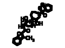 Cc1c(C(=O)NC(C)(CC(C)C)C(=O)NC2CCCN(S(=O)(=O)c3cccc[n+]3[O-])CC2O)oc2ccccc12